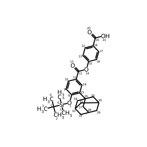 CC(C)(C)[Si](C)(C)Oc1ccc(C(=O)Oc2ccc(C(=O)O)cc2)cc1C12CC3CC(CC(C3)C1)C2